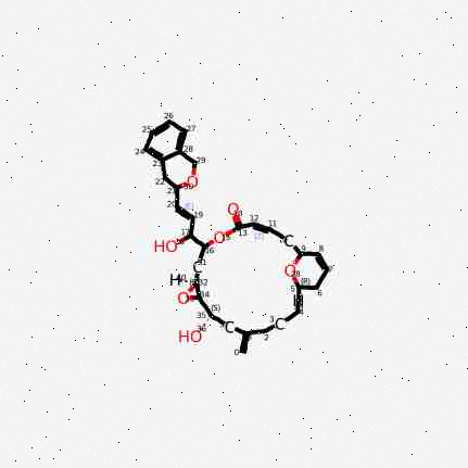 C=C1CCC[C@@H]2CC=CC(C/C=C\C(=O)OC(C(O)/C=C/C3Cc4ccccc4CO3)C[C@@H]3OC3[C@@H](O)C1)O2